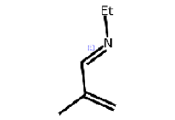 C=C(C)/C=N/CC